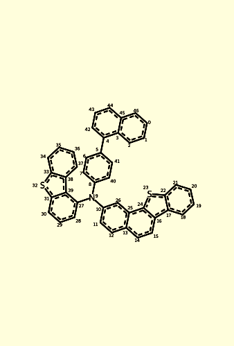 c1ccc2c(-c3ccc(N(c4ccc5ccc6c7ccccc7sc6c5c4)c4cccc5sc6ccccc6c45)cc3)cccc2c1